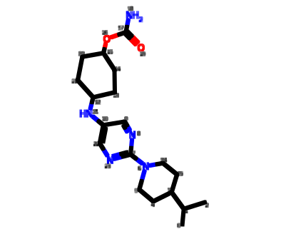 CC(C)C1CCN(c2ncc(NC3CCC(OC(N)=O)CC3)cn2)CC1